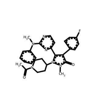 CC(=O)N1CCC(n2c(-c3ccnc(N(C)c4ccccc4)n3)c(-c3ccc(F)cc3)c(=O)n2C)CC1